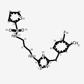 Cc1cc(Cc2nsc(NCCCNS(=O)(=O)c3cccs3)n2)ccc1F